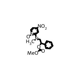 COC(=O)OC(CN(C)c1cc([N+](=O)[O-])cc[n+]1[O-])c1ccccc1